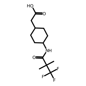 CC(C)(C(=O)NC1CCC(CC(=O)O)CC1)C(F)(F)F